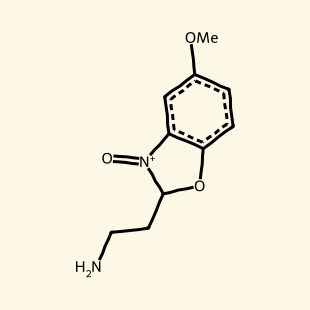 COc1ccc2c(c1)[N+](=O)C(CCN)O2